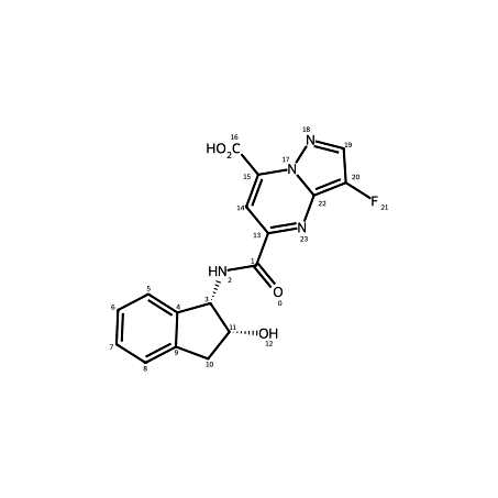 O=C(N[C@H]1c2ccccc2C[C@H]1O)c1cc(C(=O)O)n2ncc(F)c2n1